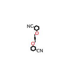 N#Cc1cccc(OCC#CCOc2cccc(C#N)c2)c1